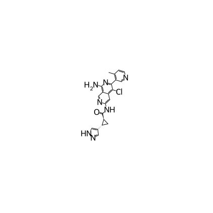 Cc1ccncc1-c1nc(N)c2cnc(NC(=O)[C@H]3C[C@@H]3c3cn[nH]c3)cc2c1Cl